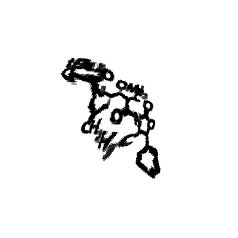 C=C1C[C@@H]([C@H](OC)[C@@H](C)C(=O)N2C(=O)O[C@@H](c3ccccc3)[C@H]2C)N(C(=O)OC(C)(C)C)C1